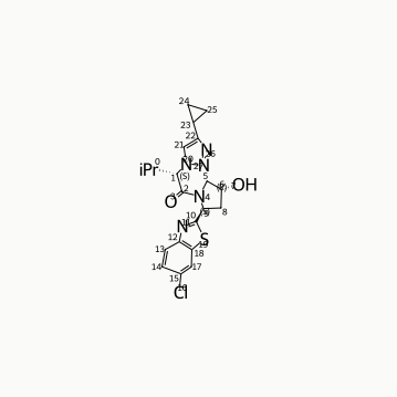 CC(C)[C@@H](C(=O)N1C[C@H](O)C[C@H]1c1nc2ccc(Cl)cc2s1)n1cc(C2CC2)nn1